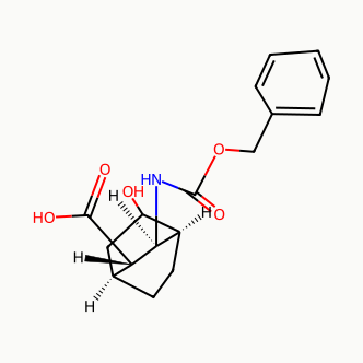 O=C(N[C@@H]1[C@@H](C(=O)O)[C@H]2CC[C@@H]1C(O)C2)OCc1ccccc1